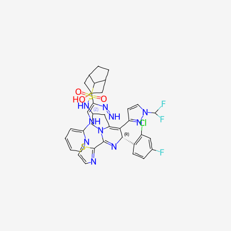 N=N/C(=C\Nc1ccccn1)C1(O)CC2CCC(C1)C2S(=O)(=O)NC1CC2=C(c3ccn(C(F)F)n3)[C@H](c3ccc(F)cc3Cl)N=C(c3nccs3)N2C1